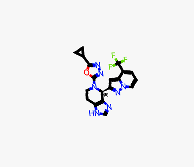 FC(F)(F)c1cccn2nc([C@H]3c4nc[nH]c4CCN3c3nnc(C4CC4)o3)cc12